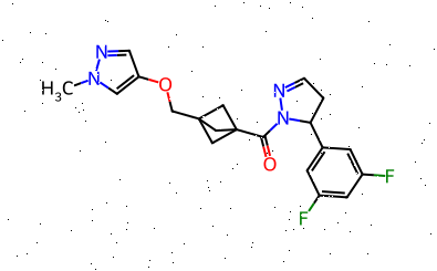 Cn1cc(OCC23CC(C(=O)N4N=CCC4c4cc(F)cc(F)c4)(C2)C3)cn1